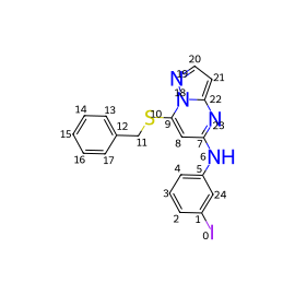 Ic1cccc(Nc2cc(SCc3ccccc3)n3nccc3n2)c1